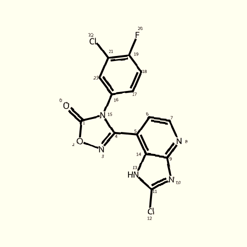 O=c1onc(-c2ccnc3nc(Cl)[nH]c23)n1-c1ccc(F)c(Cl)c1